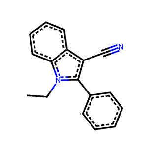 CCn1c(-c2[c]cccc2)c(C#N)c2ccccc21